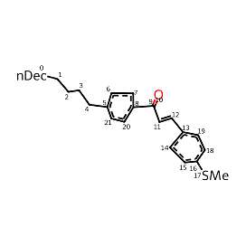 CCCCCCCCCCCCCCc1ccc(C(=O)C=Cc2ccc(SC)cc2)cc1